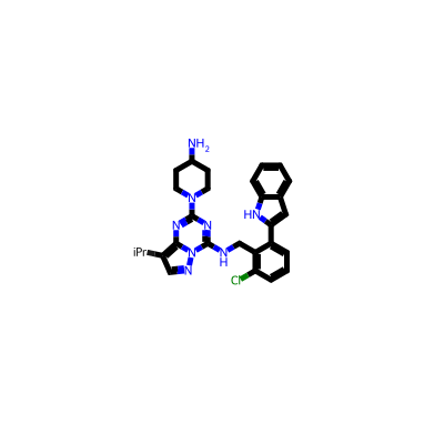 CC(C)c1cnn2c(NCc3c(Cl)cccc3-c3cc4ccccc4[nH]3)nc(N3CCC(N)CC3)nc12